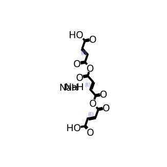 O=C(O)/C=C/C(=O)OC(=O)/C=C/C(=O)OC(=O)/C=C/C(=O)O.[NaH].[NaH]